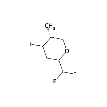 C[C@@H]1COC(C(F)F)CC1I